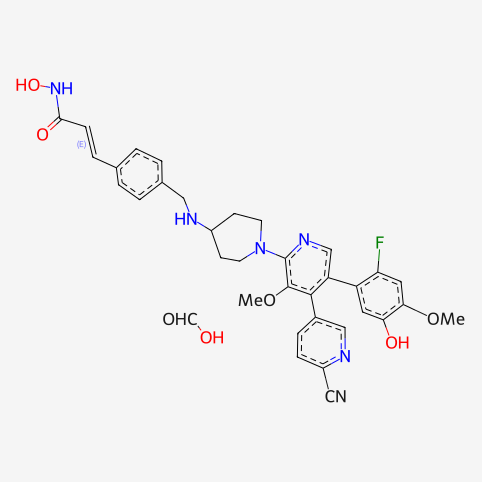 COc1cc(F)c(-c2cnc(N3CCC(NCc4ccc(/C=C/C(=O)NO)cc4)CC3)c(OC)c2-c2ccc(C#N)nc2)cc1O.O=CO